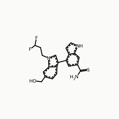 NC(=S)c1cc(-c2cn(CCC(F)F)c3cc(CO)ccc23)c2cc[nH]c2c1